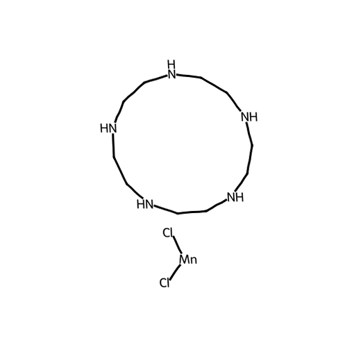 C1CNCCNCCNCCNCCN1.[Cl][Mn][Cl]